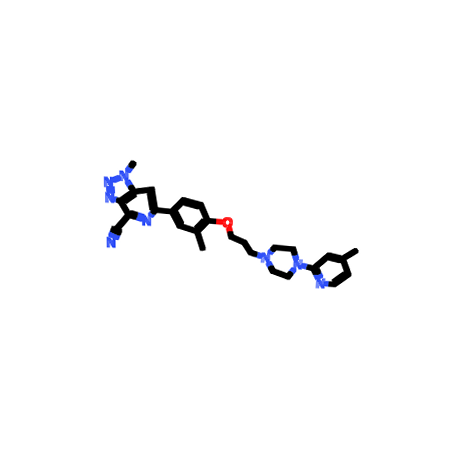 Cc1ccnc(N2CCN(CCCOc3ccc(-c4cc5c(nnn5C)c(C#N)n4)cc3C)CC2)c1